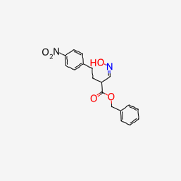 O=C(OCc1ccccc1)C(/C=N\O)CCc1ccc([N+](=O)[O-])cc1